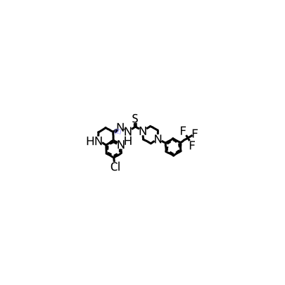 FC(F)(F)c1cccc(N2CCN(C(=S)N/N=C3/CCNc4cc(Cl)cnc43)CC2)c1